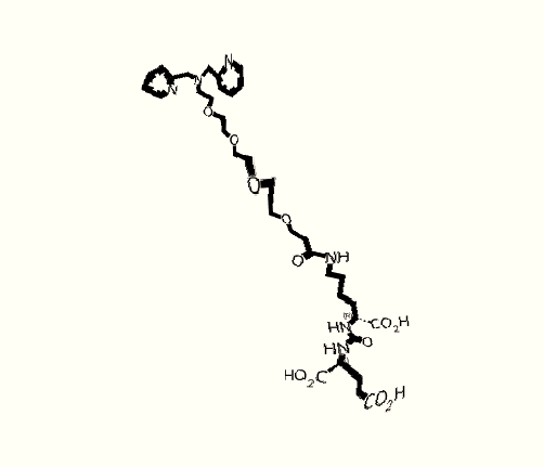 O=C(O)CC[C@H](NC(=O)N[C@H](CCCCNC(=O)CCOCCOCCOCCOCCN(Cc1ccccn1)Cc1ccccn1)C(=O)O)C(=O)O